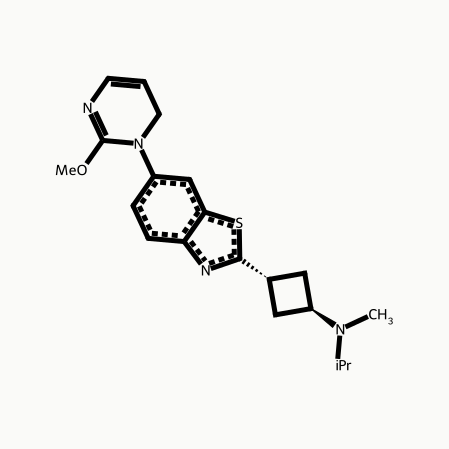 COC1=NC=CCN1c1ccc2nc([C@H]3C[C@H](N(C)C(C)C)C3)sc2c1